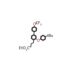 CCOC(=O)CCCc1ccc(-c2ccc(OC(F)(F)F)cc2)cc1Oc1ccc(C(C)(C)C)cc1